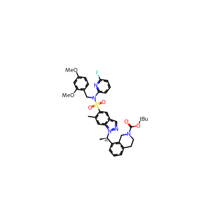 COc1ccc(CN(c2cccc(F)n2)S(=O)(=O)c2cc3cnn([C@H](C)c4cccc5c4CN(C(=O)OC(C)(C)C)CC5)c3cc2C)c(OC)c1